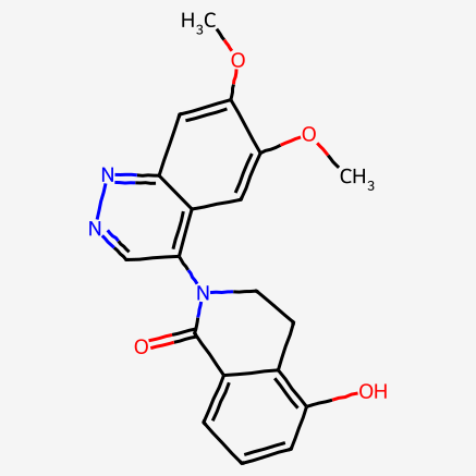 COc1cc2nncc(N3CCc4c(O)cccc4C3=O)c2cc1OC